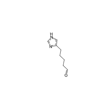 O=CCCCCc1c[nH]cn1